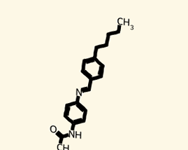 CCCCCc1ccc(C=Nc2ccc(NC(C)=O)cc2)cc1